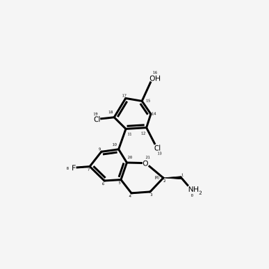 NC[C@H]1CCc2cc(F)cc(-c3c(Cl)cc(O)cc3Cl)c2O1